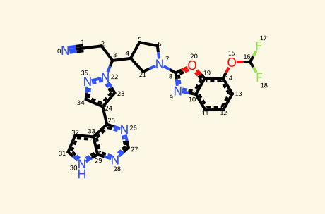 N#CCC(C1CCN(c2nc3cccc(OC(F)F)c3o2)C1)n1cc(-c2ncnc3[nH]ccc23)cn1